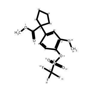 COC(=O)C1(c2ccc(OS(=O)(=O)C(F)(F)F)c(OC)c2)CCCC1